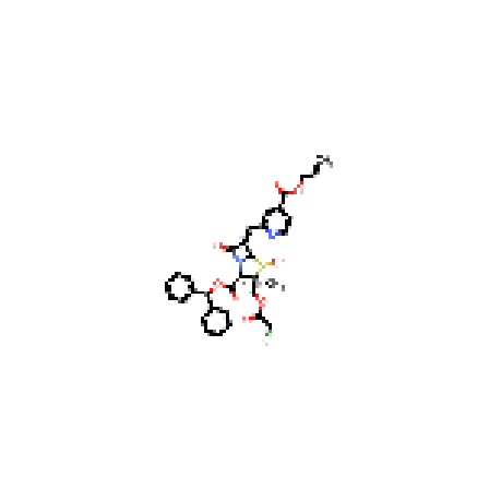 C=CCOC(=O)c1ccnc(/C=C2/C(=O)N3C2[S+]([O-])[C@@](C)(COC(=O)CCl)[C@H]3C(=O)OC(c2ccccc2)c2ccccc2)c1